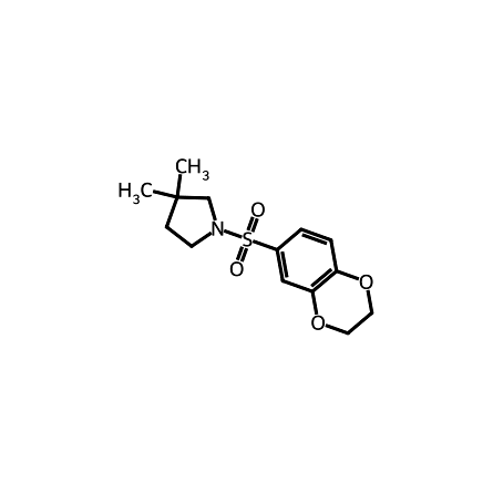 CC1(C)CCN(S(=O)(=O)c2ccc3c(c2)OCCO3)C1